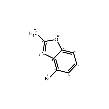 Cc1nc2c(Br)cccc2o1